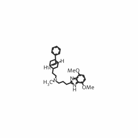 COc1ccc(OC)c2[nH]c(CCCN(C)CC[C]3C[C@H]4CC[C@H]3C=C4c3ccccc3)nc12